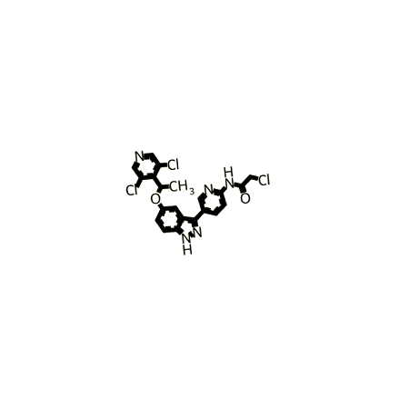 CC(Oc1ccc2[nH]nc(-c3ccc(NC(=O)CCl)nc3)c2c1)c1c(Cl)cncc1Cl